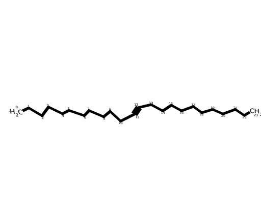 [CH2]CCCCCCCCCCC#CCCCCCCCCCC[CH2]